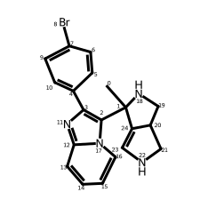 CC1(c2c(-c3ccc(Br)cc3)nc3ccccn23)NCC2CNC=C21